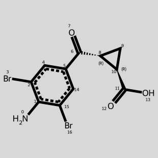 Nc1c(Br)cc(C(=O)[C@@H]2C[C@H]2C(=O)O)cc1Br